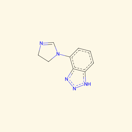 C1=NCCN1c1cccc2[nH]nnc12